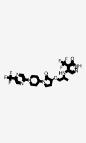 CC(CO[C@H]1CCN(C2CCN(c3cnc(C(F)(F)F)cn3)CC2)C1=O)Nc1cn[nH]c(=O)c1C(F)(F)F